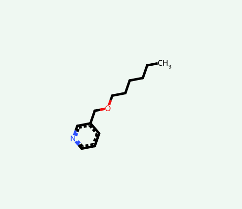 CCCCCCOCc1cccnc1